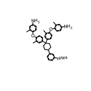 CCCCCCc1cccc(C2CCC(c3ccc(Oc4ccc(N)cc4C)c(C)c3)(c3ccc(Oc4ccc(N)cc4C)c(C)c3)CC2)c1